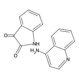 Nc1ccnc2ccccc12.O=C1Nc2ccccc2C1=O